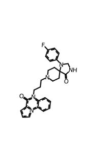 O=C1NCN(c2ccc(F)cc2)C12CCN(CCCn1c(=O)c3cccn3c3ccccc31)CC2